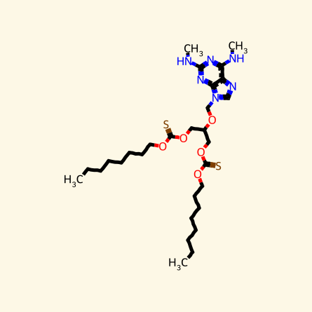 CCCCCCCCOC(=S)OCC(COC(=S)OCCCCCCCC)OCn1cnc2c(NC)nc(NC)nc21